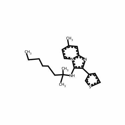 CCCCCCC(C)(C)Nc1c(-c2ccsc2)nc2cc(C)ccn12